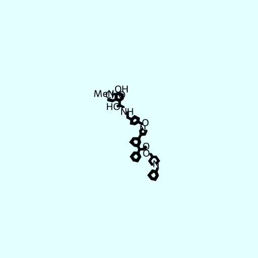 CNc1c(O)ccc(C(O)CNCCc2ccc(C(=O)N3CC=C(c4cccc(C(C(=O)OCC5CCN(Cc6ccccc6)CC5)c5ccccc5)c4)C3)cc2)c1/C=C\C=O